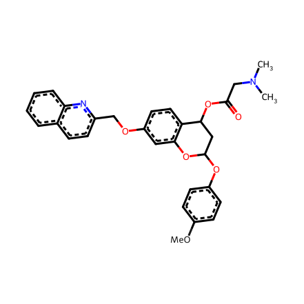 COc1ccc(OC2CC(OC(=O)CN(C)C)c3ccc(OCc4ccc5ccccc5n4)cc3O2)cc1